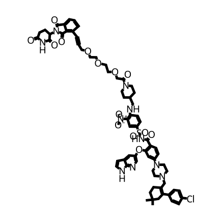 CC1(C)CCC(CN2CCN(c3ccc(C(=O)NS(=O)(=O)c4ccc(NCC5CCN(C(=O)COCCOCCOCC#Cc6cccc7c6C(=O)N(C6CCC(=O)NC6=O)C7=O)CC5)c([N+](=O)[O-])c4)c(Oc4cnc5[nH]ccc5c4)c3)CC2)=C(c2ccc(Cl)cc2)C1